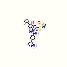 CC1=C(c2cc3cnc(Nc4ccc(C5CCCNC5)cc4)nc3n(Cc3ncsc3[S+]([O-])c3nccs3)c2=O)CCC1